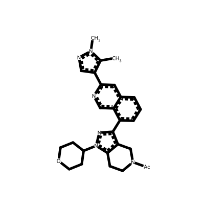 CC(=O)N1CCc2c(c(-c3cccc4cc(-c5cnn(C)c5C)ncc34)nn2C2CCOCC2)C1